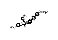 CCCCCCCOc1ccc(-c2cnc(-c3ccc(C[C@H](NC(=O)c4ccc(C(C)(C)C)s4)C(=O)CNC4CCCC(C(=O)O)C4)cc3)nc2)cc1